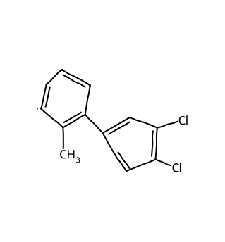 Cc1[c]cccc1-c1ccc(Cl)c(Cl)c1